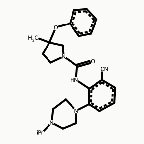 CC(C)N1CCN(c2cccc(C#N)c2NC(=O)N2CCC(C)(Oc3ccccc3)C2)CC1